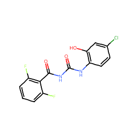 O=C(NC(=O)c1c(F)cccc1F)Nc1ccc(Cl)cc1O